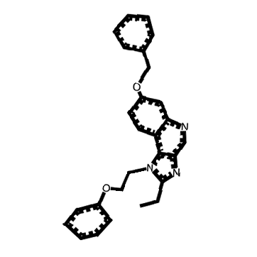 CCc1nc2cnc3cc(OCc4ccccc4)ccc3c2n1CCOc1ccccc1